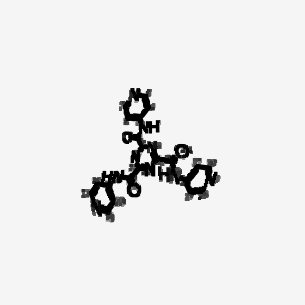 O=C(Nc1ccncc1)c1nc(C(=O)Nc2ccncc2)nc(C(=O)Nc2ccncc2)n1